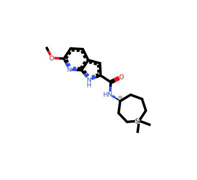 COc1ccc2cc(C(=O)N[C@H]3CCC[Si](C)(C)CC3)[nH]c2n1